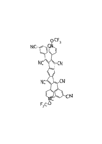 N#CC1=C(c2ccc(OC(F)(F)F)cc2)/C(=C(/C#N)c2cc(C#N)cc(C#N)c2)c2cc3c(cc21)/C(=C(\C#N)c1cc(C#N)cc(C#N)c1)C(c1ccc(OC(F)(F)F)cc1)=C3C#N